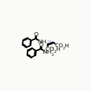 NC(=O)c1ccccc1.NC(=O)c1ccccc1.O=C(O)/C=C\C(=O)O